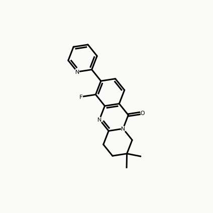 CC1(C)CCc2nc3c(F)c(-c4ccccn4)ccc3c(=O)n2C1